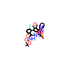 CCSc1nc(N2C3CCC2CN(C(=O)OC(C)(C)C)C3)c2c3c(c(-c4c(F)ccc5oc(NC(=O)OC(C)(C)C)c(C#N)c45)c(F)c2n1)COC3